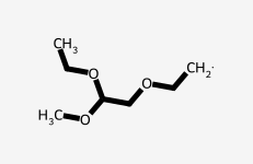 [CH2]COCC(OC)OCC